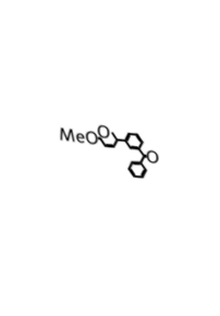 COC(=O)/C=C\C(C)c1cccc(C(=O)c2ccccc2)c1